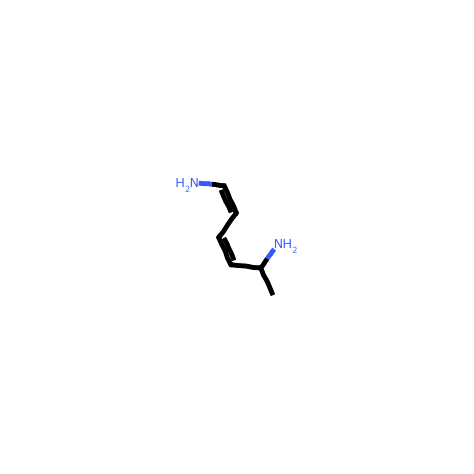 CC(N)/C=C\C=C/N